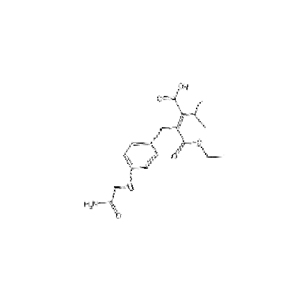 CCOC(=O)C(Cc1ccc(OCC(N)=O)cc1)=C(C(=O)O)C(C)C